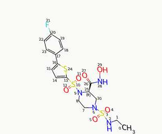 CCNS(=O)(=O)N1CCN(S(=O)(=O)c2ccc(-c3ccc(F)cc3)s2)[C@@H](C(=O)NO)C1